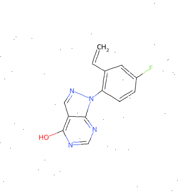 C=Cc1cc(F)ccc1-n1ncc2c(O)ncnc21